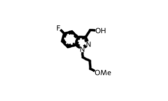 COCCCn1nc(CO)c2cc(F)ccc21